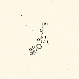 CC(C(=O)NCCOCCO)c1ccc(OS(=O)(=O)C(F)(F)F)cc1